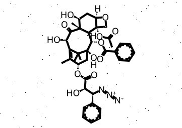 CC(=O)O[C@@]12CO[C@@H]1C[C@H](O)[C@@]1(C)C(=O)[C@H](O)C3=C(C)[C@@H](OC(=O)[C@H](O)[C@@H](N=[N+]=[N-])c4ccccc4)C[C@@](O)([C@@H](OC(=O)c4ccccc4)[C@H]21)C3(C)C